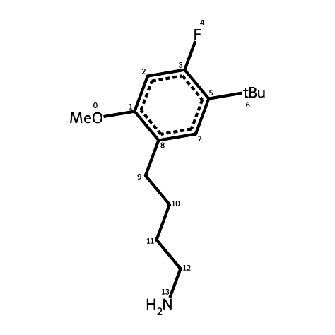 COc1cc(F)c(C(C)(C)C)cc1CCCCN